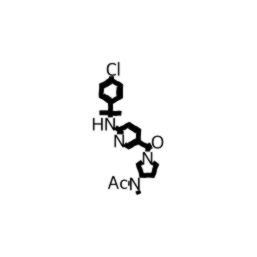 CC(=O)N(C)[C@H]1CCN(C(=O)c2ccc(NC(C)(C)c3ccc(Cl)cc3)nc2)C1